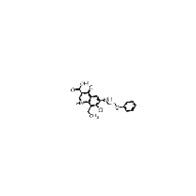 CCc1c(Cl)c(NCCOc2ccccc2)cc2c(=O)c(C(=O)O)c[nH]c12